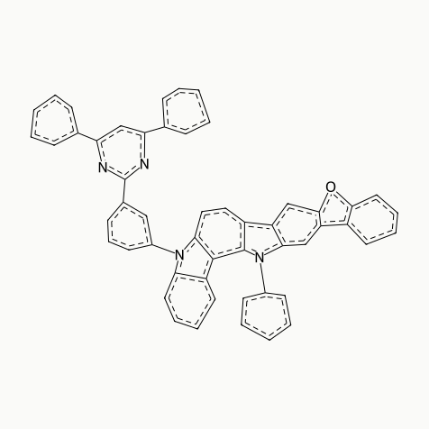 c1ccc(-c2cc(-c3ccccc3)nc(-c3cccc(-n4c5ccccc5c5c4ccc4c6cc7oc8ccccc8c7cc6n(-c6ccccc6)c45)c3)n2)cc1